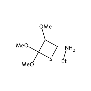 CCN.COC1CSC1(OC)OC